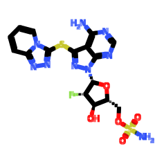 Nc1ncnc2c1c(Sc1nnc3ccccn13)nn2[C@@H]1O[C@H](COS(N)(=O)=O)[C@@H](O)[C@@H]1F